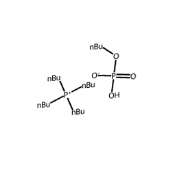 CCCCOP(=O)([O-])O.CCCC[P+](CCCC)(CCCC)CCCC